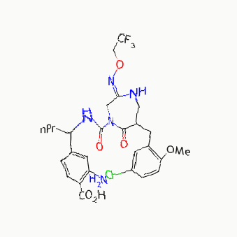 CCCC(NC(=O)N1C/C(=N/OCC(F)(F)F)NCC(Cc2cc(Cl)ccc2OC)C1=O)c1ccc(C(=O)O)c(N)c1